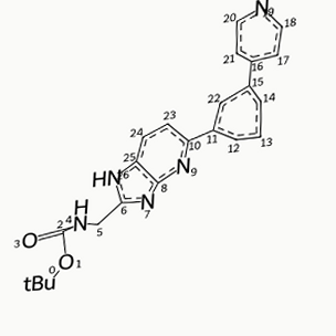 CC(C)(C)OC(=O)NCc1nc2nc(-c3cccc(-c4ccncc4)c3)ccc2[nH]1